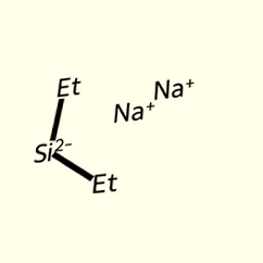 CC[Si-2]CC.[Na+].[Na+]